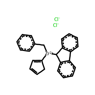 C1=CC[C]([Zr+2]([CH2]c2ccccc2)[CH]2c3ccccc3-c3ccccc32)=C1.[Cl-].[Cl-]